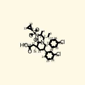 CC[C@@H](C(C)NS(=O)(=O)C1CC1)N1C(=O)[C@](C)(CC(=O)O)C[C@H](c2cccc(Cl)c2)[C@H]1c1ccc(Cl)cc1